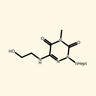 CCCCCCCn1nc(NCCO)c(=O)n(C)c1=O